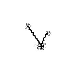 NC(=O)CCCCCCCCCCCCC(CCCCCCC(N)=O)C(C(=O)O)(C(=O)O)C(=O)O